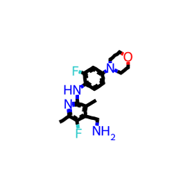 Cc1nc(Nc2ccc(N3CCOCC3)cc2F)c(C)c(CN)c1F